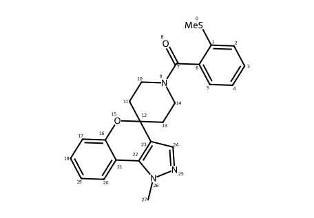 CSc1ccccc1C(=O)N1CCC2(CC1)Oc1ccccc1-c1c2cnn1C